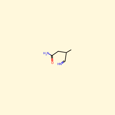 CC(C=N)CC(N)=O